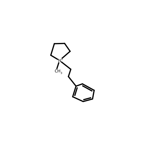 C[N+]1(CCc2ccccc2)CCCC1